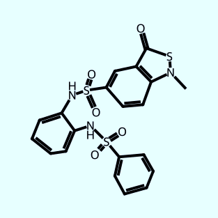 Cn1sc(=O)c2cc(S(=O)(=O)Nc3ccccc3NS(=O)(=O)c3ccccc3)ccc21